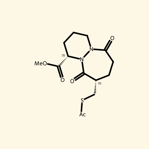 COC(=O)[C@@H]1CCCN2C(=O)CC[C@H](CSC(C)=O)C(=O)N12